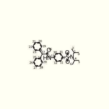 CC(C)N(C(C)C)S(=O)(=O)c1ccc(NC(=O)C(c2ccccc2)c2ccccc2)cc1